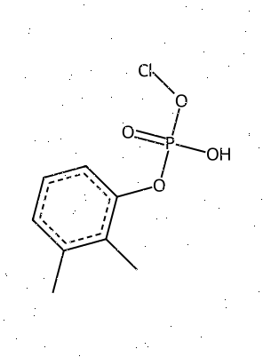 Cc1cccc(OP(=O)(O)OCl)c1C